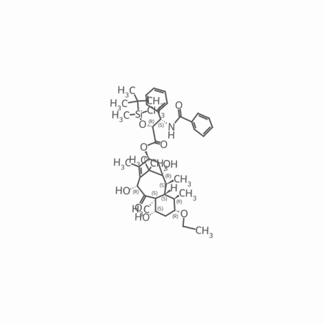 CCO[C@@H]1C[C@H](O)[C@@]2(C)C(=O)[C@H](O)C3=C(C)[C@@H](OC(=O)[C@H](O[Si](C)(C)C(C)(C)C)[C@@H](NC(=O)c4ccccc4)c4ccccc4)C[C@@](O)([C@@H](C)[C@@H]2[C@H]1C)C3(C)C